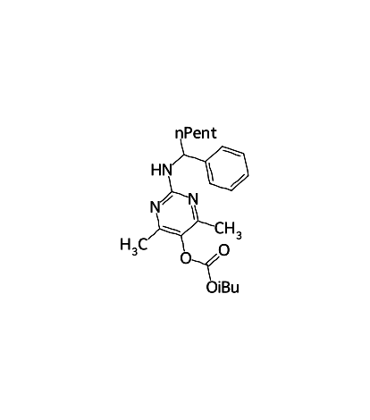 CCCCCC(Nc1nc(C)c(OC(=O)OCC(C)C)c(C)n1)c1ccccc1